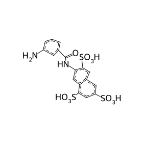 Nc1cccc(C(=O)Nc2cc3c(S(=O)(=O)O)cc(S(=O)(=O)O)cc3cc2S(=O)(=O)O)c1